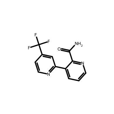 NC(=O)c1ncccc1-c1cc(C(F)(F)F)ccn1